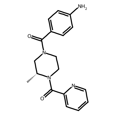 C[C@@H]1CN(C(=O)c2ccc(N)cc2)CCN1C(=O)c1ccccn1